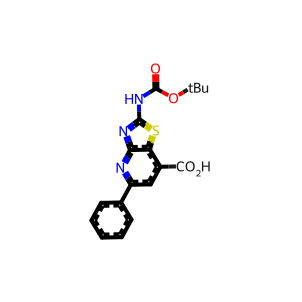 CC(C)(C)OC(=O)Nc1nc2nc(-c3ccccc3)cc(C(=O)O)c2s1